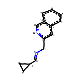 C(=N\Cc1cc2ccccc2cn1)/C1CC1